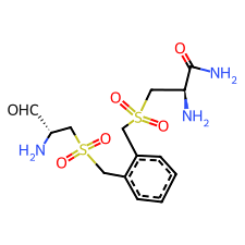 NC(=O)[C@@H](N)CS(=O)(=O)Cc1ccccc1CS(=O)(=O)C[C@H](N)C=O